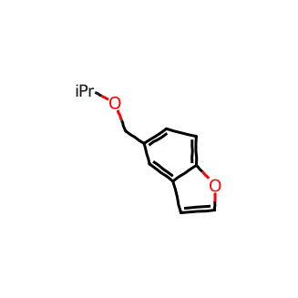 CC(C)OCc1ccc2occc2c1